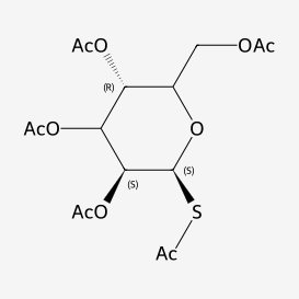 CC(=O)OCC1O[C@@H](SC(C)=O)[C@@H](OC(C)=O)C(OC(C)=O)[C@@H]1OC(C)=O